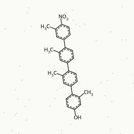 Cc1cc(O)ccc1-c1ccc(-c2ccc(-c3ccc([N+](=O)[O-])c(C)c3)c(C)c2)c(C)c1